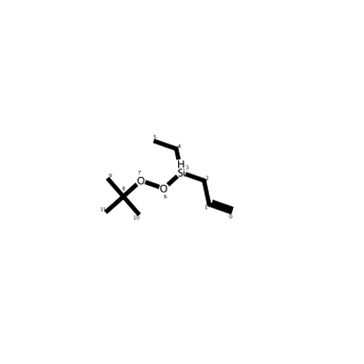 C=CC[SiH](CC)OOC(C)(C)C